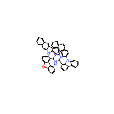 c1ccc(-n2c3ccccc3c3cccc(C4=NC(c5cccc6ccccc56)=NC(c5c(-n6c7ccccc7c7cc8ccccc8cc76)ccc6oc7ccccc7c56)N4)c32)cc1